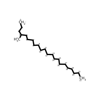 [CH2]CCC(C)CCCCCCCCCCCCCCCCCC